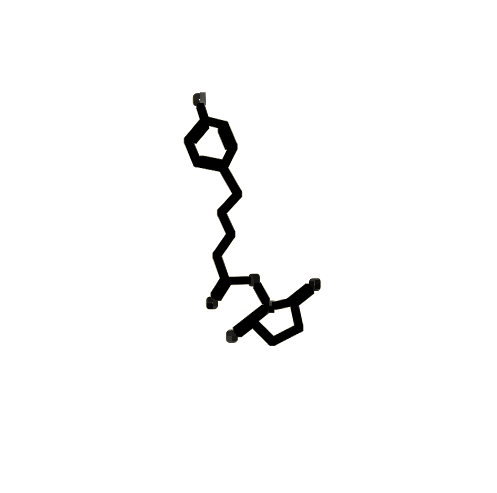 O=C(CCCCc1ccc(Cl)cc1)ON1C(=O)CCC1=O